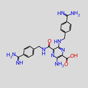 N=C(N)c1ccc(CNC(=O)c2nc(N)c(C(=O)O)nc2NCc2ccc(C(=N)N)cc2)cc1